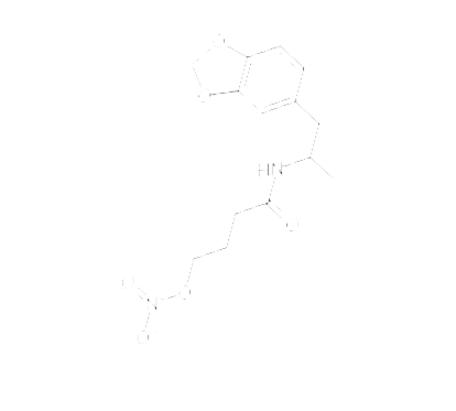 CC(Cc1ccc2c(c1)OCO2)NC(=O)CCCO[N+](=O)[O-]